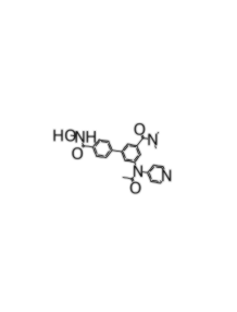 CC(=O)N(c1ccncc1)c1cc(C(=O)N(C)C)cc(-c2ccc(C(=O)NO)cc2)c1